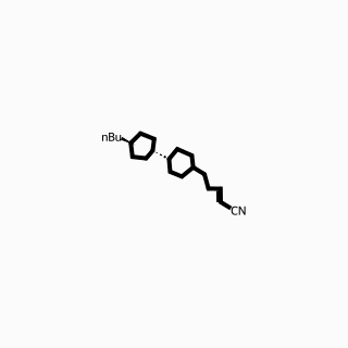 CCCC[C@H]1CC[C@H](C2CCC(CCC=CC#N)CC2)CC1